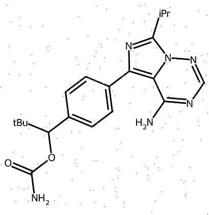 CC(C)c1nc(-c2ccc(C(OC(N)=O)C(C)(C)C)cc2)c2c(N)ncnn12